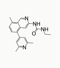 CCNC(=O)Nc1cc2c(-c3cc(C)nc(C)c3)ccc(C)c2cn1